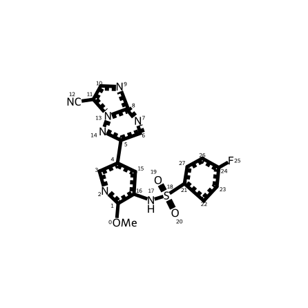 COc1ncc(-c2cnc3ncc(C#N)n3n2)cc1NS(=O)(=O)c1ccc(F)cc1